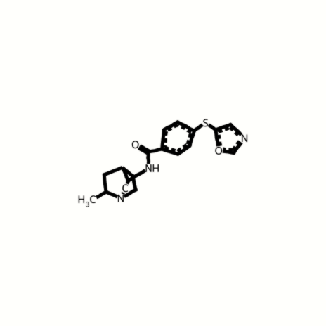 CC1CC2CCN1CC2NC(=O)c1ccc(Sc2cnco2)cc1